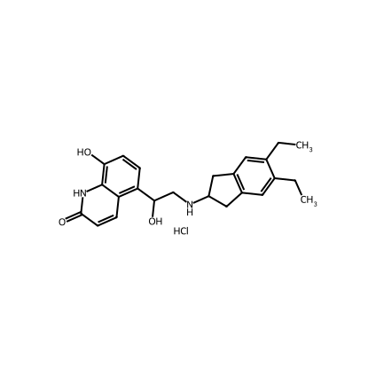 CCc1cc2c(cc1CC)CC(NCC(O)c1ccc(O)c3[nH]c(=O)ccc13)C2.Cl